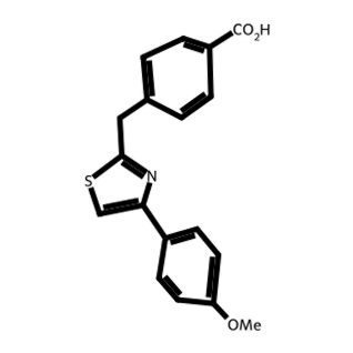 COc1ccc(-c2csc(Cc3ccc(C(=O)O)cc3)n2)cc1